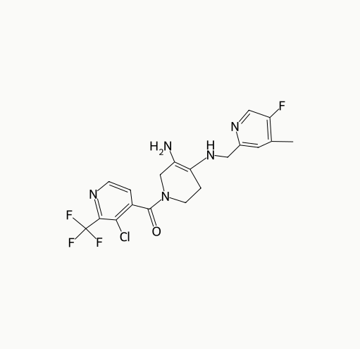 Cc1cc(CNC2=C(N)CN(C(=O)c3ccnc(C(F)(F)F)c3Cl)CC2)ncc1F